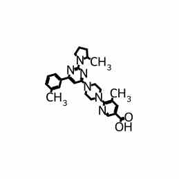 Cc1cccc(-c2cc(N3CCN(c4ncc(C(=O)O)cc4C)CC3)nc(N3CCCC3C)n2)c1